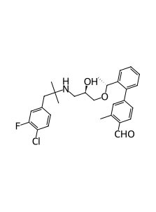 Cc1cc(-c2ccccc2[C@@H](C)OC[C@H](O)CNC(C)(C)Cc2ccc(Cl)c(F)c2)ccc1C=O